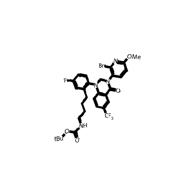 COc1ccc(N2CN(c3ccc(F)cc3CCCCNC(=O)OC(C)(C)C)c3ccc(C(F)(F)F)cc3C2=O)c(Br)n1